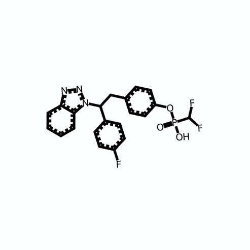 O=P(O)(Oc1ccc(CC(c2ccc(F)cc2)n2nnc3ccccc32)cc1)C(F)F